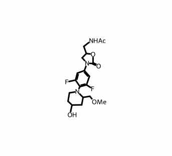 COCC1CC(O)CCN1c1c(F)cc(N2CC(CNC(C)=O)OC2=O)cc1F